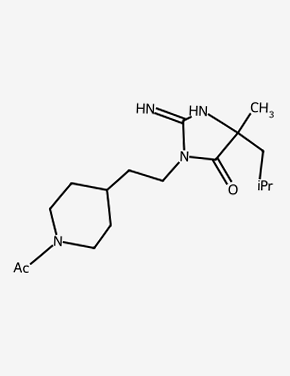 CC(=O)N1CCC(CCN2C(=N)NC(C)(CC(C)C)C2=O)CC1